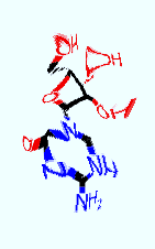 NC1=NC(=O)N([C@@H]2O[C@H](CO)[C@H](O)C2O)CN1